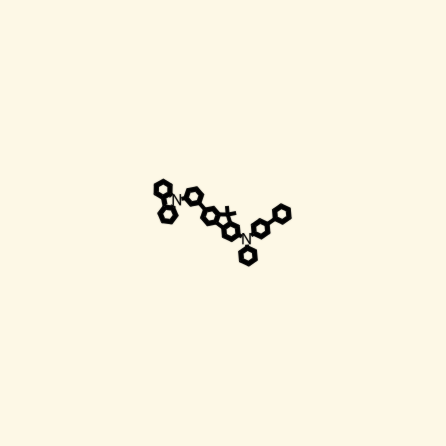 CC1(C)c2cc(-c3cccc(-n4c5ccccc5c5ccccc54)c3)ccc2-c2ccc(N(c3ccccc3)c3ccc(-c4ccccc4)cc3)cc21